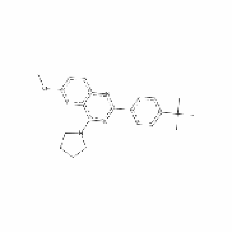 COc1ccc2nc(-c3ccc(C(C)(C)C)cc3)nc(N3CCCC3)c2c1